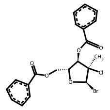 C[C@@]1(Cl)[C@H](OC(=O)c2ccccc2)[C@@H](COC(=O)c2ccccc2)O[C@@H]1Br